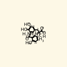 C[C@](N)(Cc1ccc(O)c(O)c1)C(=O)O.NC(=O)c1ccccc1O